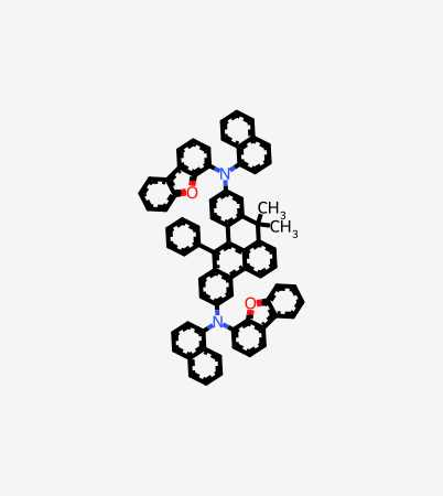 CC1(C)c2cc(N(c3cccc4ccccc34)c3cccc4c3oc3ccccc34)ccc2-c2c(-c3ccccc3)c3ccc(N(c4cccc5ccccc45)c4cccc5c4oc4ccccc45)cc3c3cccc1c23